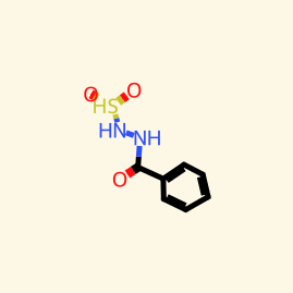 O=C(NN[SH](=O)=O)c1ccccc1